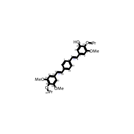 COc1cc(/C=C/c2ccc(/C=C/c3cc(OC)c(OC(C)C)c(OC)c3)cc2)cc(O)c1OC(C)C